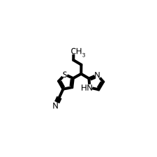 CCCC(c1ncc[nH]1)c1cc(C#N)cs1